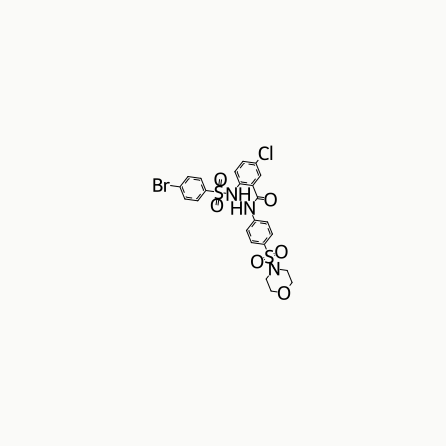 O=C(Nc1ccc(S(=O)(=O)N2CCOCC2)cc1)c1cc(Cl)ccc1NS(=O)(=O)c1ccc(Br)cc1